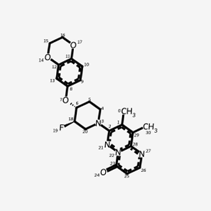 Cc1c(N2CC[C@@H](Oc3ccc4c(c3)OCCO4)[C@H](F)C2)nn2c(=O)ccnc2c1C